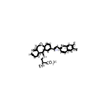 CCC(CSC1c2cc(/C=C/c3ccc4cc(F)c(F)cc4n3)ccc2OCc2ncccc21)C(=O)O